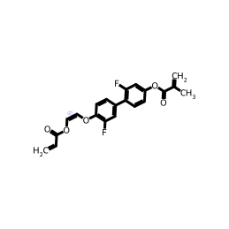 C=CC(=O)O/C=C\Oc1ccc(-c2ccc(OC(=O)C(=C)C)cc2F)cc1F